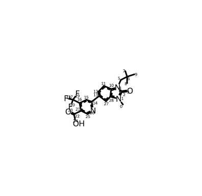 Cn1c(=O)n(CC(C)(C)C)c2ccc(-c3cc(C(F)(F)F)c(C(=O)O)cn3)cc21